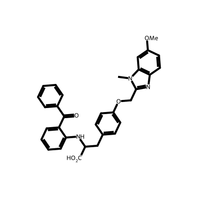 COc1ccc2nc(COc3ccc(CC(Nc4ccccc4C(=O)c4ccccc4)C(=O)O)cc3)n(C)c2c1